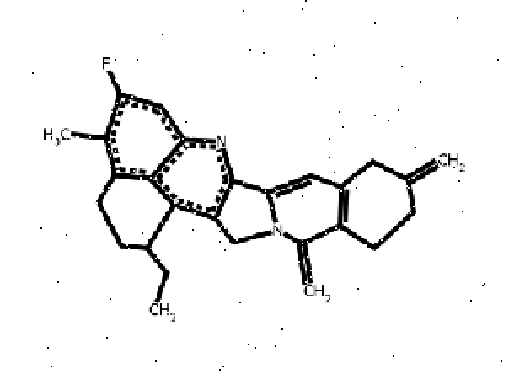 C=C1CCC2=C(C=C3c4nc5cc(F)c(C)c6c5c(c4CN3C2=C)C(CC)CC6)C1